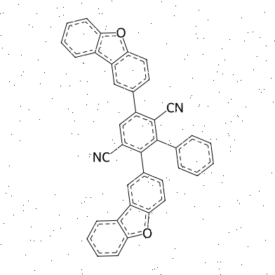 N#Cc1cc(-c2ccc3oc4ccccc4c3c2)c(C#N)c(-c2ccccc2)c1-c1ccc2oc3ccccc3c2c1